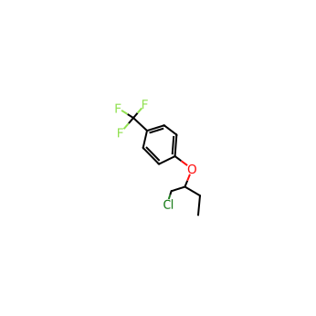 CCC(CCl)Oc1ccc(C(F)(F)F)cc1